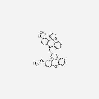 COc1ccc2c(c1)C1(SCC(CN3c4ccccc4C4(SCCS4)c4cc(OC)ccc43)S1)c1ccccc1O2